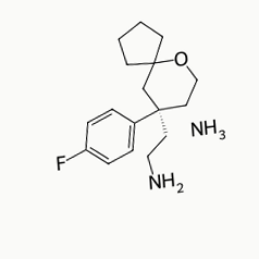 N.NCC[C@@]1(c2ccc(F)cc2)CCOC2(CCCC2)C1